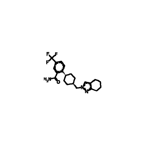 NC(=O)c1cc(C(F)(F)F)ccc1[C@H]1CC[C@H](Cn2cc3c(n2)CCCC3)CC1